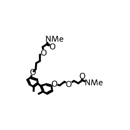 CNC(=O)CCOCCOc1ccc(C)c(-c2cc(OCCCCOCC(=O)NC)ccc2C)c1